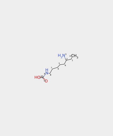 CCC(N)CCCCCNC(=O)O